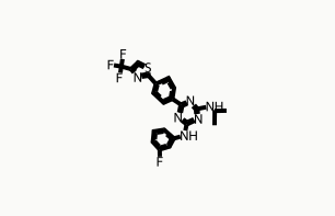 CC(C)Nc1nc(Nc2cccc(F)c2)nc(-c2ccc(-c3nc(C(F)(F)F)cs3)cc2)n1